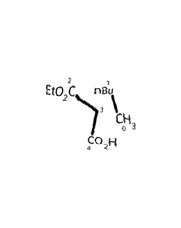 CCCCC.CCOC(=O)CC(=O)O